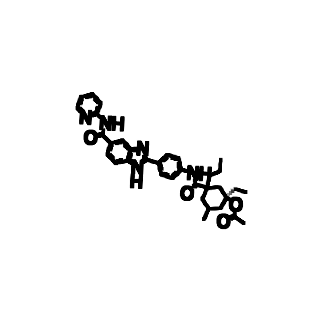 CCCC1(C(=O)Nc2ccc(-c3nc4cc(C(=O)Nc5ccccn5)ccc4[nH]3)cc2)CC(C)C[C@](CC)(OC(C)=O)C1